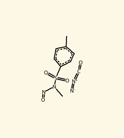 Cc1ccc(S(=O)(=O)N(C)N=O)cc1.[N-]=[N+]=C=O